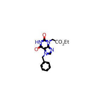 CCOC(=O)Cn1c(=O)[nH]c(=O)c2c1ncn2Cc1ccccc1